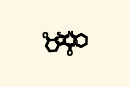 O=C1CCCc2c1sc1nc3n(c(=O)c21)CCCC3